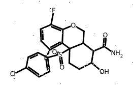 NC(=O)C1C(O)CCC2(S(=O)(=O)c3ccc(Cl)cc3)c3c(F)ccc(F)c3OCC12